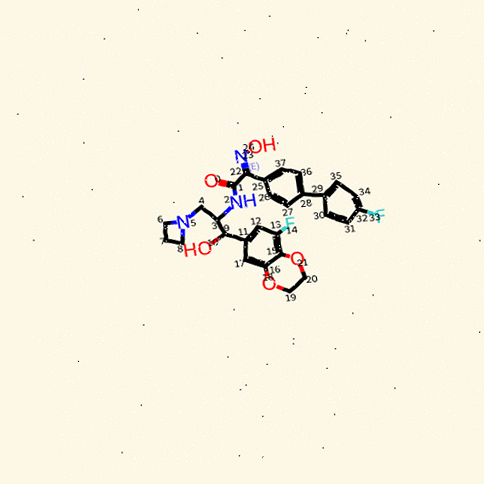 O=C(NC(CN1CCC1)C(O)c1cc(F)c2c(c1)OCCO2)/C(=N/O)c1ccc(-c2ccc(F)cc2)cc1